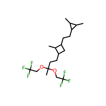 CC1C(CCC2C(C)C2C)CC1CCC(C)(OCC(F)(F)F)OCC(F)(F)F